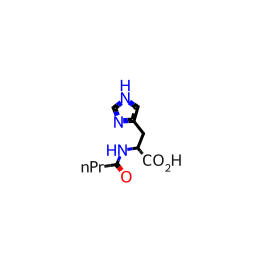 CCCC(=O)NC(Cc1c[nH]cn1)C(=O)O